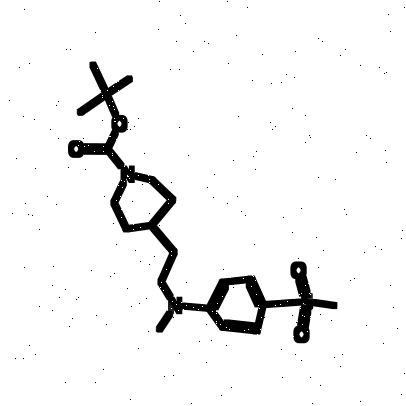 CN(CCC1CCN(C(=O)OC(C)(C)C)CC1)c1ccc(S(C)(=O)=O)cc1